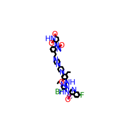 CCOc1cc(N2CCC(N3CCN(CCc4cccc5c4n(C)c(=O)n5C4CCC(=O)NC4=O)CC3)CC2)c(CC)cc1Nc1ncc(Br)c(Nc2cnc3cc(F)ccc3c2P(C)(C)=O)n1